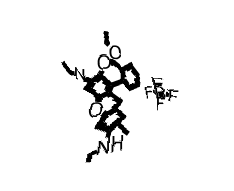 CCN=c1cc2oc3cc(NCC)c(C)cc3cc-2c(-c2ccccc2C(=O)OCC)c1C.F[B-](F)(F)F